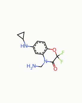 NCN1C(=O)C(F)(F)Oc2ccc(NC3CC3)cc21